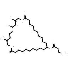 CNCCC(=O)OC(CCCCCCCCCC(=O)OCC(CCC(C)C)C(C)C)CCCCCCCCCC(=O)OCC(CCC(C)C)C(C)C